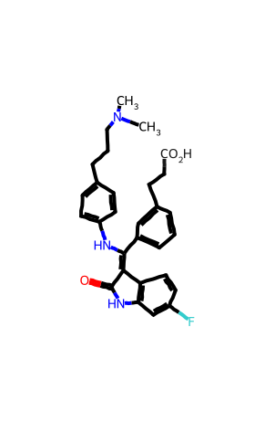 CN(C)CCCc1ccc(N/C(=C2\C(=O)Nc3cc(F)ccc32)c2cccc(CCC(=O)O)c2)cc1